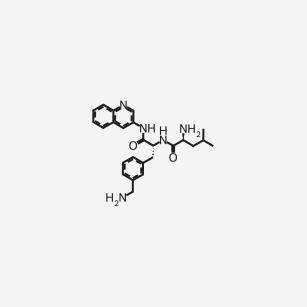 CC(C)C[C@H](N)C(=O)N[C@H](Cc1cccc(CN)c1)C(=O)Nc1cnc2ccccc2c1